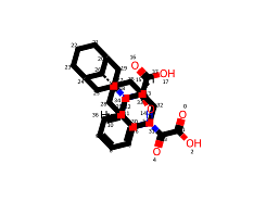 O=C(O)C(=O)Nc1ccccc1N(C(=O)C(=O)O)C1CC2CCCC(C1)C2[C@H]1C[C@@H]2CCC[C@@H](C2)C1